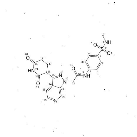 CNS(=O)(=O)c1ccc(NC(=O)Cn2nc(C3CCC(=O)NC3=O)c3ccccc32)cc1